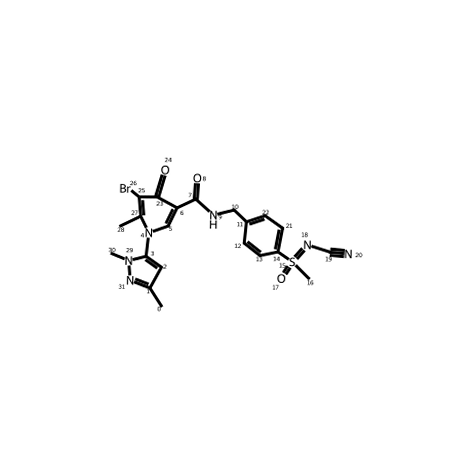 Cc1cc(-n2cc(C(=O)NCc3ccc(S(C)(=O)=NC#N)cc3)c(=O)c(Br)c2C)n(C)n1